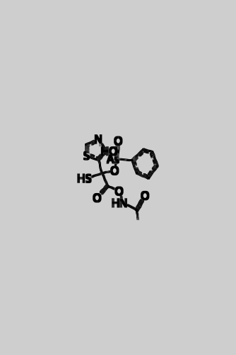 CC(=O)NOC(=O)C(S)(O[As](=O)(O)c1ccccc1)c1cncs1